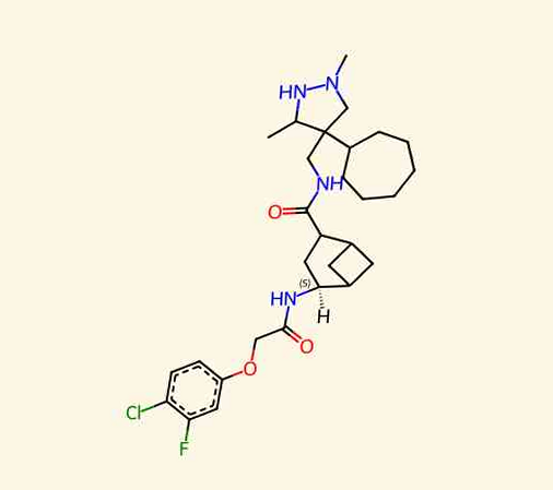 CC1NN(C)CC1(CNC(=O)C1C[C@H](NC(=O)COc2ccc(Cl)c(F)c2)C2CC1C2)C1CCCCCC1